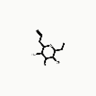 C=CCC1OC(CC)C(O)C(O)C1O